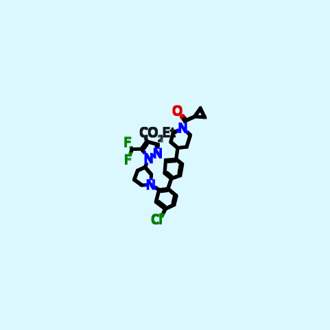 CCOC(=O)c1cnn(C2CCCN(c3cc(Cl)ccc3-c3ccc(C4CCN(C(=O)C5CC5)CC4)cc3)C2)c1C(F)F